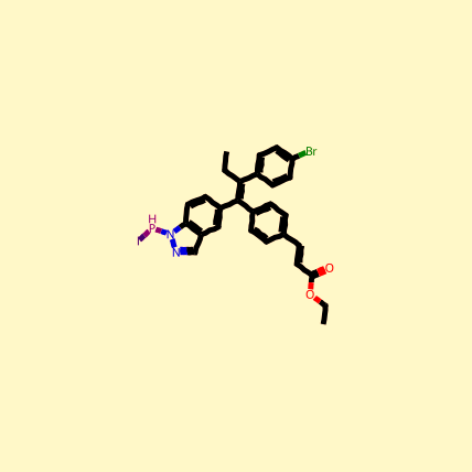 CCOC(=O)/C=C/c1ccc(/C(=C(/CC)c2ccc(Br)cc2)c2ccc3c(cnn3PI)c2)cc1